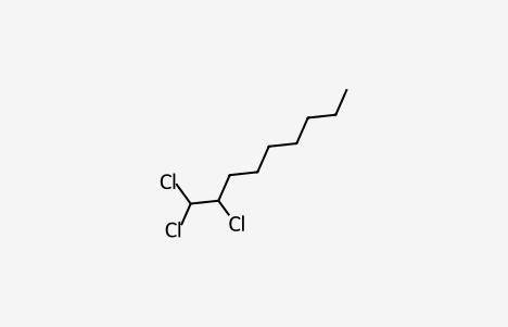 CCCCCCCC(Cl)C(Cl)Cl